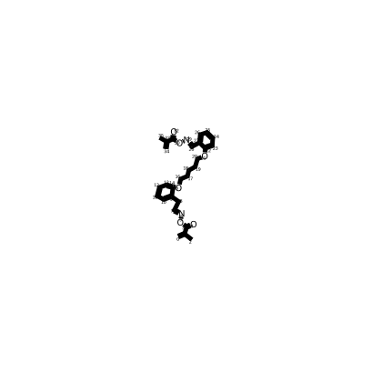 C=C(C)C(=O)ON=CCc1ccccc1OCCCCCOc1ccccc1C=NOC(=O)C(=C)C